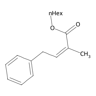 CCCCCCOC(=O)C(C)=CCc1ccccc1